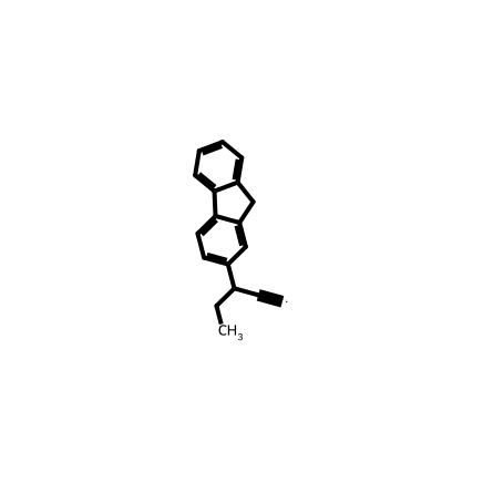 [C]#CC(CC)c1ccc2c(c1)Cc1ccccc1-2